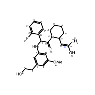 COc1cc(CCO)cc(NC(C(=O)N2CCCCC2/C=C(\C)O)c2ccccc2F)c1